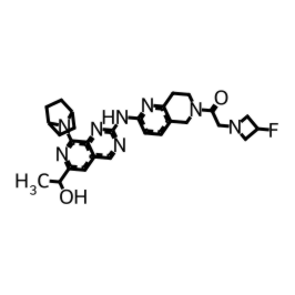 CC(O)c1cc2cnc(Nc3ccc4c(n3)CCN(C(=O)CN3CC(F)C3)C4)nc2c(N2C3CCC2CC3)n1